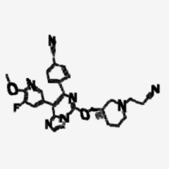 COc1ncc(-c2c(-c3ccc(C#N)cc3)nc(OC[C@@H]3CCCN(CCC#N)C3)n3ccnc23)cc1F